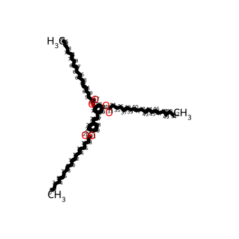 CCCCCC=CCC=CCC=CCC=CCCCC(=O)Oc1ccc(C=Cc2cc(OC(=O)CCCC=CCC=CCC=CCC=CCCCCC)cc(OC(=O)CCCC=CCC=CCC=CCC=CCCCCC)c2)cc1